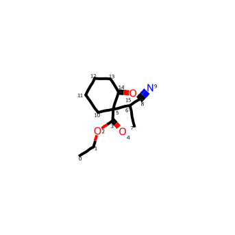 CCOC(=O)C1(C(C)C#N)CCCCC1=O